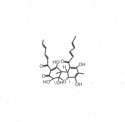 C/C=C/C=C/C(=O)C1=C(O)C2(C)[C@@H]3C(C(=O)/C=C/C=C/C)=C(O)C(C)=C(O)[C@@]3(C)OC2(O)[C@@](C)(O)C1=O